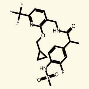 CC(C(=O)NCc1ccc(C(F)(F)F)nc1OCC1CC1)c1ccc(NS(C)(=O)=O)c(F)c1